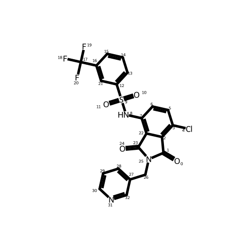 O=C1c2c(Cl)ccc(NS(=O)(=O)c3cccc(C(F)(F)F)c3)c2C(=O)N1Cc1cccnc1